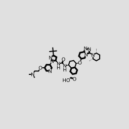 C[C@@H]1CCC[C@H](C)N1c1nnc2ccc(O[C@@H]3CC[C@H](NC(=O)Nc4cc(C(C)(C)C)nn4-c4cncc(OCCN(C)C)c4)c4ccccc43)cn12.O=CO